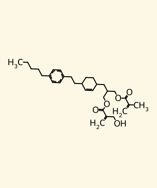 C=C(C)C(=O)OCC(COC(=O)C(=C)CO)CC1C=CC(CCc2ccc(CCCCC)cc2)CC1